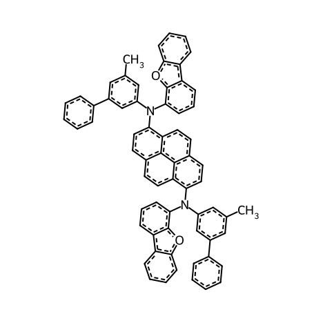 Cc1cc(-c2ccccc2)cc(N(c2ccc3ccc4c(N(c5cc(C)cc(-c6ccccc6)c5)c5cccc6c5oc5ccccc56)ccc5ccc2c3c54)c2cccc3c2oc2ccccc23)c1